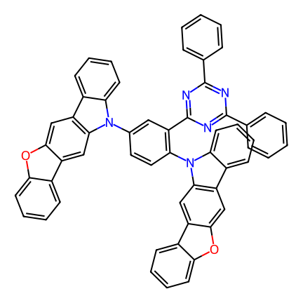 c1ccc(-c2nc(-c3ccccc3)nc(-c3cc(-n4c5ccccc5c5cc6oc7ccccc7c6cc54)ccc3-n3c4ccccc4c4cc5oc6ccccc6c5cc43)n2)cc1